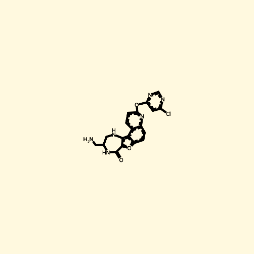 NCC1CNc2c(oc3ccc4nc(Oc5cc(Cl)ncn5)ccc4c23)C(=O)N1